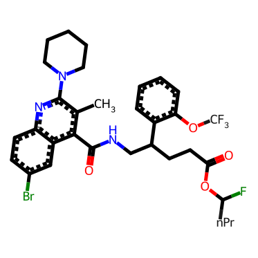 CCCC(F)OC(=O)CCC(CNC(=O)c1c(C)c(N2CCCCC2)nc2ccc(Br)cc12)c1ccccc1OC(F)(F)F